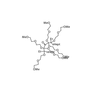 CCCCCCCC(CC)(OCCOCCOC)C(OCCOCCOC)(OCCOCCOC)C(=O)C(OCCOCCOC)(OCCOCCOC)C(CC)(CCCCCCC)OCCOCCOC